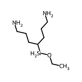 CCO[SiH2]C(CCCN)CCCN